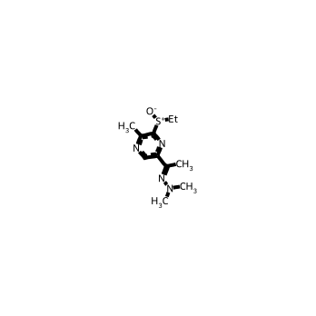 CC[S+]([O-])c1nc(/C(C)=N/N(C)C)cnc1C